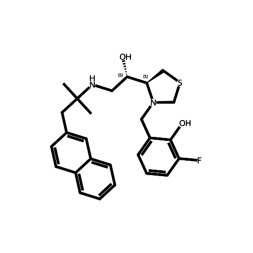 CC(C)(Cc1ccc2ccccc2c1)NC[C@H](O)[C@H]1CSCN1Cc1cccc(F)c1O